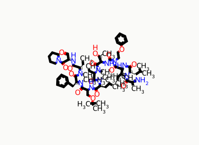 CCC(C(=O)N(C)[C@@H](CC(C)C)C(=O)NC(COC(C)(C)C)C(=O)N(C)[C@@H](Cc1ccccc1)C(=O)N(C)[C@@H](CC)C(=O)N[C@@H](C=O)C(=O)N1CCCCC1)N(C)C(=O)C(NC(=O)N(CCOc1ccccc1)C(=O)[C@@H](NC(=O)[C@H](CC(C)C)N(C)C(=O)C(C)N)[C@@H](C)CC)[C@@H](C)O